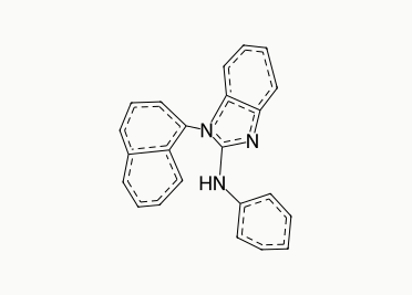 c1ccc(Nc2nc3ccccc3n2-c2cccc3ccccc23)cc1